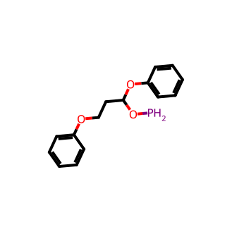 POC(CCOc1ccccc1)Oc1ccccc1